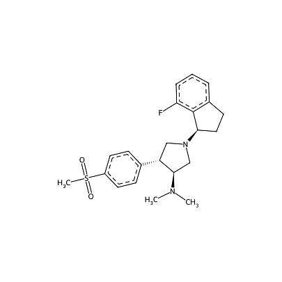 CN(C)[C@@H]1CN([C@@H]2CCc3cccc(F)c32)C[C@H]1c1ccc(S(C)(=O)=O)cc1